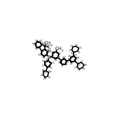 Cc1cc(-c2cccc(-c3cc(C4CCCCC4)cc(C4CCCCC4)c3)c2)cc(N(c2ccc(C3CCCCC3)cc2)c2ccc3c(c2)C(C)(C)c2ccccc2-3)c1